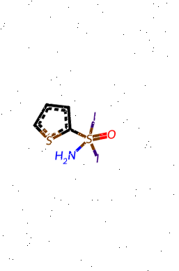 NS(=O)(I)(I)c1cccs1